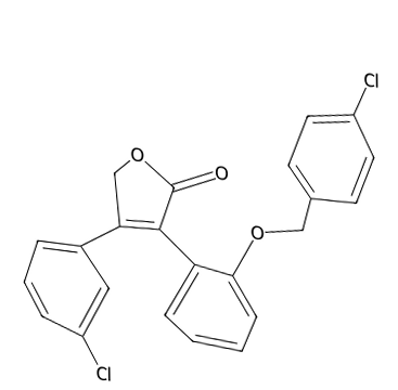 O=C1OCC(c2cccc(Cl)c2)=C1c1ccccc1OCc1ccc(Cl)cc1